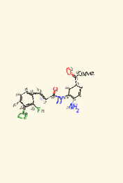 COC(=O)C1C=CC(N)=C(NC(=O)/C=C/c2cccc(Cl)c2F)C1